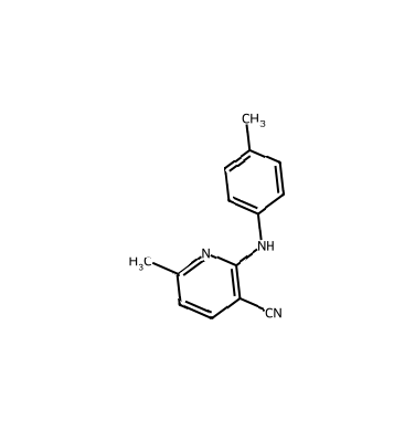 Cc1ccc(Nc2nc(C)ccc2C#N)cc1